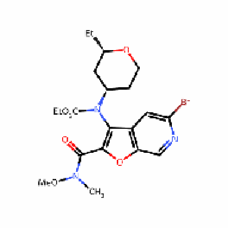 CCOC(=O)N(c1c(C(=O)N(C)OC)oc2cnc(Br)cc12)[C@@H]1CCO[C@H](CC)C1